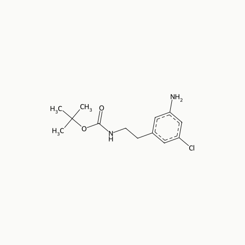 CC(C)(C)OC(=O)NCCc1cc(N)cc(Cl)c1